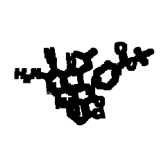 CC(C)CC(Nc1nc(N)nc(N)c1C#N)c1nc2cccc(Cl)c2c(=O)n1N1CCN(C(=O)OC(C)(C)C)CC1